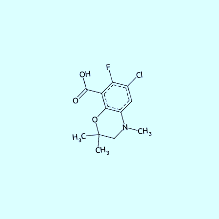 CN1CC(C)(C)Oc2c1cc(Cl)c(F)c2C(=O)O